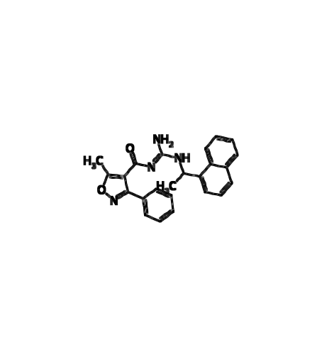 Cc1onc(-c2ccccc2)c1C(=O)N=C(N)NC(C)c1cccc2ccccc12